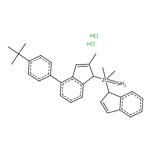 CC1=Cc2c(-c3ccc(C(C)(C)C)cc3)cccc2[CH]1[Zr]([CH3])([CH3])(=[SiH2])[CH]1C=Cc2ccccc21.Cl.Cl